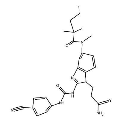 CCCC(C)(C)C(=O)N(C)c1ccc2c(c1)nc(NC(=O)Nc1ccc(C#N)cc1)n2CCC(N)=O